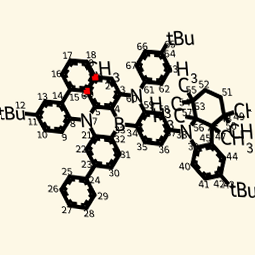 Cc1cc2c3c(c1)N(c1ccc(C(C)(C)C)cc1-c1ccccc1)c1cc(-c4ccccc4)ccc1B3c1ccc(N3c4ccc(C(C)(C)C)cc4C4(C)C(C)(C)CCC(C)(C)C34C)cc1N2c1ccc(C(C)(C)C)cc1